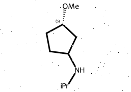 CO[C@H]1CCC(NC(C)C)C1